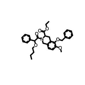 CCCCOC(C(=O)N1Cc2ccc(OC)c(OCc3ccccc3)c2CC1C(=O)OCC)c1ccccc1